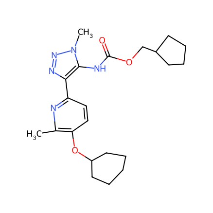 Cc1nc(-c2nnn(C)c2NC(=O)OCC2CCCC2)ccc1OC1CCCCC1